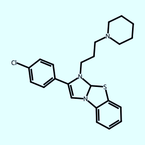 Clc1ccc(C2=CN3c4ccccc4SC3N2CCCN2CCCCC2)cc1